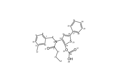 CCCC(=O)N(Cc1cccc(C)c1)c1cc(-c2ccccc2)sc1OC(=O)O